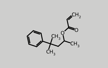 C=CC(=O)OC(C)CC(C)(C)c1ccccc1